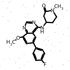 COc1cc(-c2ccc(F)cc2)cc2c(NC3CCN(C)C(=O)C3)ncnc12